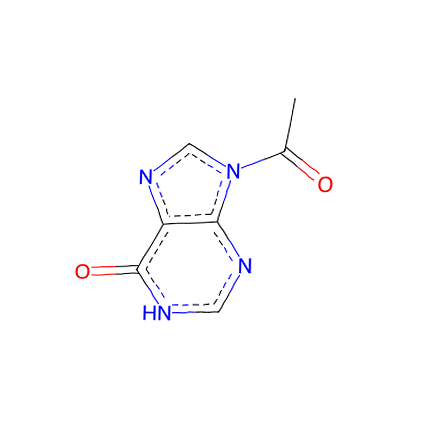 CC(=O)n1cnc2c(=O)[nH]cnc21